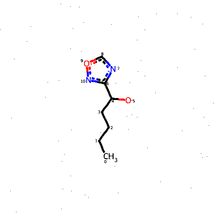 CCCCC([O])c1ncon1